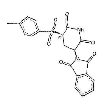 Cc1ccc(S(=O)(=O)[C@@H]2CC(N3C(=O)c4ccccc4C3=O)C(=O)NC2=O)cc1